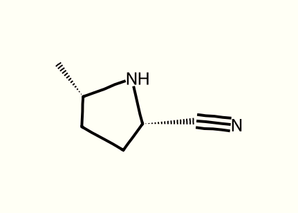 C[C@H]1CC[C@@H](C#N)N1